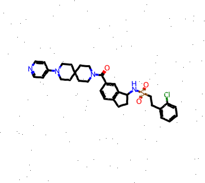 O=C(c1ccc2c(c1)C(NS(=O)(=O)CCc1ccccc1Cl)CC2)N1CCC2(CC1)CCN(c1ccncc1)CC2